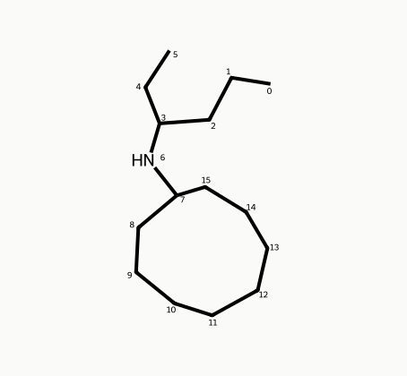 CCCC(CC)NC1CCCCCCCC1